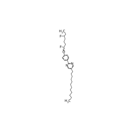 CCCCCCCCCCCCc1cnc(-c2ccc(OCC(F)CCCC(F)CC)cc2)nc1